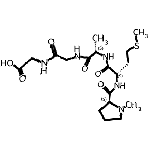 CSCC[C@H](NC(=O)[C@@H]1CCCN1C)C(=O)N[C@@H](C)C(=O)NCC(=O)NCC(=O)O